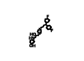 Oc1ccc(NCC(O)CN2CCN(CCCC(c3ccc(F)cc3)c3ccc(F)cc3)CC2)cc1